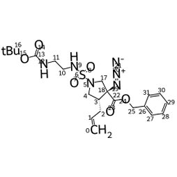 C=CC[C@@H]1CN(S(=O)(=O)NCCNC(=O)OC(C)(C)C)C[C@]1(N=[N+]=[N-])C(=O)OCc1ccccc1